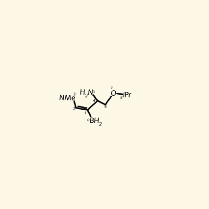 B/C(=C/NC)C(N)COC(C)C